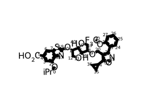 CC(C)Oc1cc(C(=O)O)cc2sc(O[C@@H]3CO[C@H]4[C@@H]3OC[C@H]4OCc3c(-c4ccccc4OC(F)(F)F)noc3C3CC3)nc12